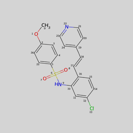 COc1ccc(S(=O)(=O)Nc2cc(Cl)ccc2C=Cc2ccncc2)cc1